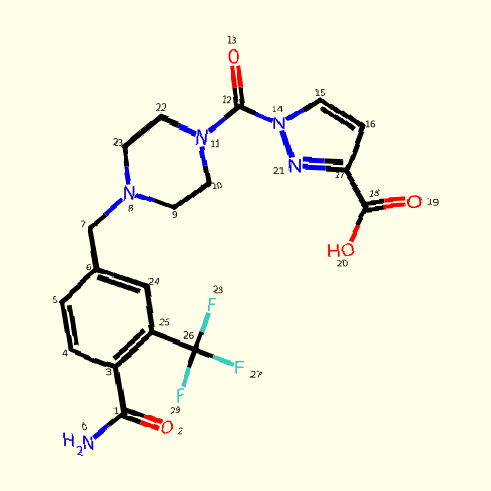 NC(=O)c1ccc(CN2CCN(C(=O)n3ccc(C(=O)O)n3)CC2)cc1C(F)(F)F